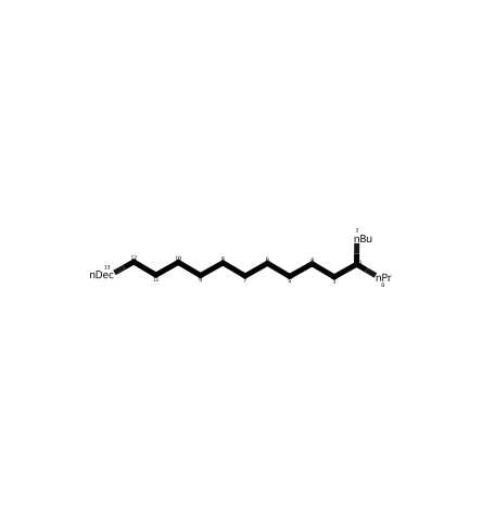 [CH2]CCC(CCCC)CCCCCCCCCCCCCCCCCCCC